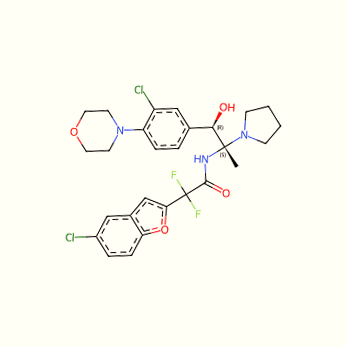 C[C@@](NC(=O)C(F)(F)c1cc2cc(Cl)ccc2o1)([C@H](O)c1ccc(N2CCOCC2)c(Cl)c1)N1CCCC1